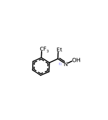 CC/C(=N\O)c1ccccc1C(F)(F)F